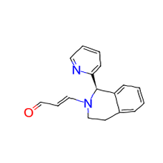 O=CC=CN1CCc2ccccc2[C@@H]1c1ccccn1